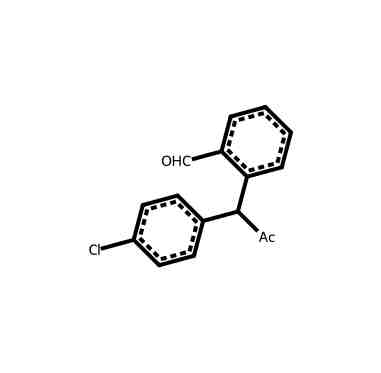 CC(=O)C(c1ccc(Cl)cc1)c1ccccc1C=O